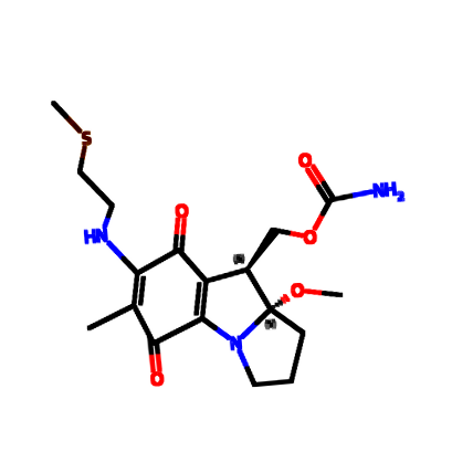 CO[C@]12CCCN1C1=C(C(=O)C(NCCSC)=C(C)C1=O)[C@H]2COC(N)=O